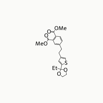 CCC1(c2cc(CCc3ccc(C(=O)OC)c(C(=O)OC)c3)cs2)OCCO1